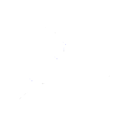 CC1(C)c2ccccc2-c2ccc(-c3nc(-c4cc(-n5c6ccccc6c6cc7ccccc7cc65)c5ccccc5c4)c4ccccc4n3)cc21